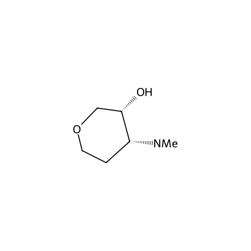 CN[C@@H]1CCOC[C@@H]1O